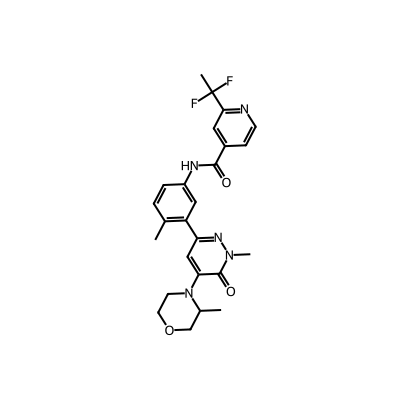 Cc1ccc(NC(=O)c2ccnc(C(C)(F)F)c2)cc1-c1cc(N2CCOCC2C)c(=O)n(C)n1